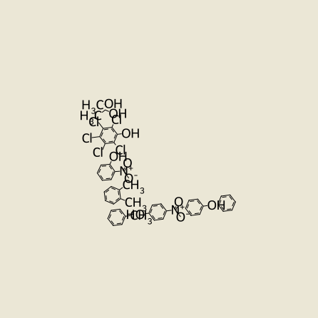 CCO.CO.Cc1ccccc1.Cc1ccccc1C.O=[N+]([O-])c1ccc(O)cc1.O=[N+]([O-])c1ccccc1O.Oc1c(Cl)c(Cl)c(Cl)c(Cl)c1Cl.Oc1ccccc1.c1ccccc1